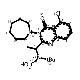 CC(c1nc2cccc(Cl)c2c(=O)n1N1CCCCCC1)N(C(=O)O)C(C)(C)C